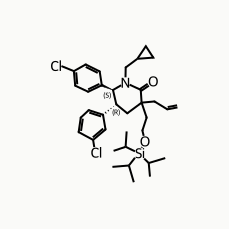 C=CCC1(CCO[Si](C(C)C)(C(C)C)C(C)C)C[C@H](c2cccc(Cl)c2)[C@@H](c2ccc(Cl)cc2)N(CC2CC2)C1=O